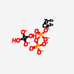 O=P([O-])([O-])OP(=O)([O-])[O-].[Ca+2].[O-][Si]([O-])(O)O.[Zr+4]